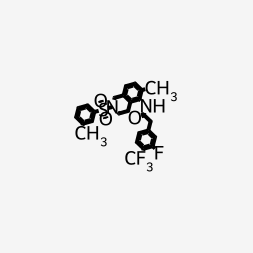 Cc1cccc(S(=O)(=O)N2CCc3c(ccc(C)c3NC(=O)Cc3ccc(C(F)(F)F)c(F)c3)C2)c1